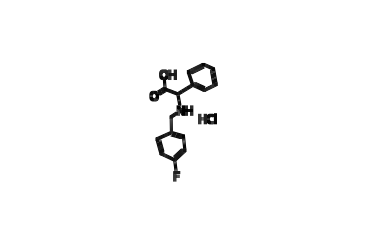 Cl.O=C(O)C(NCc1ccc(F)cc1)c1ccccc1